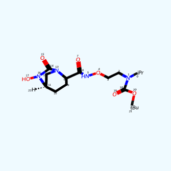 CC(C)N(CCONC(=O)C1CC[C@@H]2CN1C(=O)N2O)C(=O)OC(C)(C)C